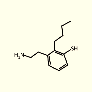 CCCCc1c(S)cccc1CCN